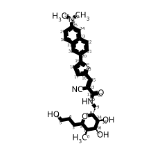 C[C@H]1C(CCCO)O[C@H](CNC(=O)/C(C#N)=C/c2ccc(-c3ccc4cc(N(C)C)ccc4c3)s2)[C@@H](O)[C@@H]1O